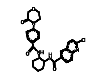 O=C(NC1CCCCC1NC(=O)c1ccc2nc(Cl)ccc2c1)c1ccc(N2CCOCC2=O)cc1